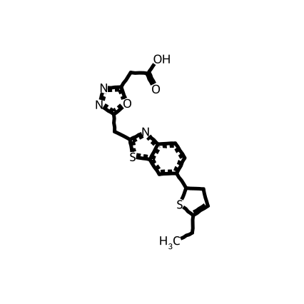 CCC1=CCC(c2ccc3nc(Cc4nnc(CC(=O)O)o4)sc3c2)S1